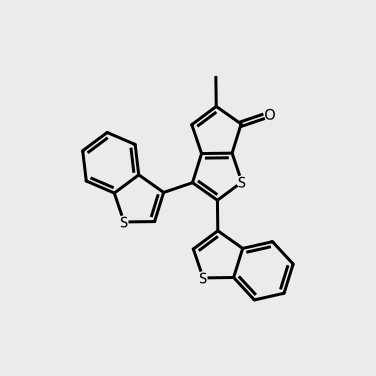 CC1=Cc2c(sc(-c3csc4ccccc34)c2-c2csc3ccccc23)C1=O